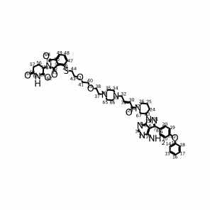 Nc1ncnc2c1c(-c1ccc(Oc3ccccc3)cc1)nn2[C@@H]1CCCN(C(=O)/C=C/CN2CCN(CCOCCOCCSc3cccc4c3C(=O)N(C3CCC(=O)NC3=O)C4=O)CC2)C1